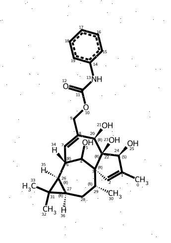 CC1=C[C@]23C(O)[C@@H](C=C(COC(=O)Nc4ccccc4)[C@@H](O)[C@]2(O)[C@H]1O)[C@H]1[C@@H](C[C@H]3C)C1(C)C